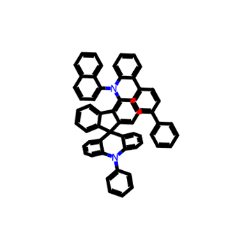 c1ccc(-c2ccc(-c3ccccc3N(c3cccc4c3-c3ccccc3C43c4ccccc4N(c4ccccc4)c4ccccc43)c3cccc4ccccc34)cc2)cc1